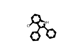 Clc1cccc2[nH]c(-c3ccccc3)c(-c3ccccc3)c12